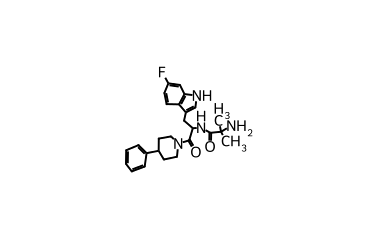 CC(C)(N)C(=O)NC(Cc1c[nH]c2cc(F)ccc12)C(=O)N1CCC(c2ccccc2)CC1